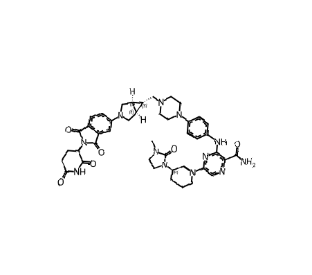 CN1CCN([C@@H]2CCCN(c3cnc(C(N)=O)c(Nc4ccc(N5CCN(C[C@@H]6[C@H]7CN(c8ccc9c(c8)C(=O)N(C8CCC(=O)NC8=O)C9=O)C[C@@H]67)CC5)cc4)n3)C2)C1=O